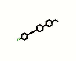 CCc1ccc(C2CC=C(C#Cc3ccc(F)cc3)CC2)cc1